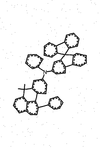 CC1(C)c2cc(N(c3ccccc3)c3ccc4c(c3)C3(c5ccccc5-c5ccccc53)c3ccccc3-4)ccc2-c2c(-c3ccccc3)ccc3cccc1c23